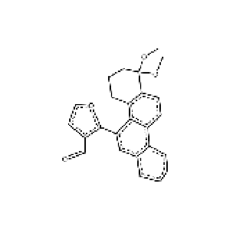 COC1(OC)CCCc2c1ccc1c2c(-c2occc2C=O)cc2ccccc21